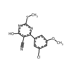 COc1cc(Cl)cc(-c2nc(SC)nc(O)c2C#N)c1